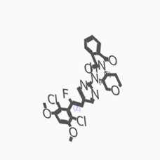 COc1cc(OC)c(Cl)c(/C(F)=C/c2cnc(N[C@H]3COCC[C@H]3N3C(=O)c4ccccc4C3=O)nc2)c1Cl